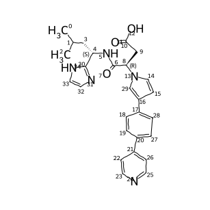 CC(C)C[C@H](NC(=O)[C@@H](CC(=O)O)n1ccc(-c2ccc(-c3ccncc3)cc2)c1)c1ncc[nH]1